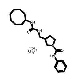 O=C(NCC1CCN(C(=O)Nc2ccccc2)C1)N[C]1CCCCCCC1.[CH2].[CH2]